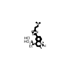 CCN(C(=O)O)[C@@H]1C[C@H](C)[N+](C)(C(C)=O)c2ccc(-c3noc(CCN(C)C)n3)cc21.Cl